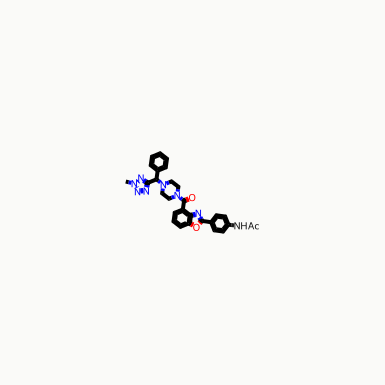 CC(=O)Nc1ccc(-c2nc3c(C(=O)N4CCN(C(c5ccccc5)c5nnn(C)n5)CC4)cccc3o2)cc1